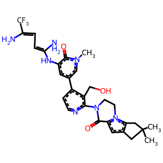 Cn1cc(-c2ccnc(N3CCn4c(cc5c4CC(C)(C)C5)C3=O)c2CO)cc(N/C(N)=C/C=C(\N)C(F)(F)F)c1=O